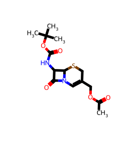 CC(=O)OCC1=CN2C(=O)C(NC(=O)OC(C)(C)C)C2SC1